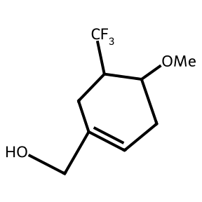 COC1CC=C(CO)CC1C(F)(F)F